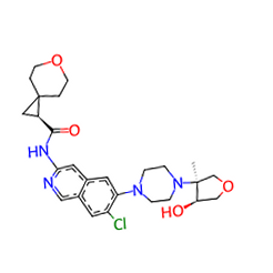 C[C@]1(N2CCN(c3cc4cc(NC(=O)[C@H]5CC56CCOCC6)ncc4cc3Cl)CC2)COC[C@H]1O